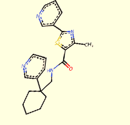 Cc1nc(-c2cccnc2)sc1C(=O)NCC1(c2cccnc2)CCCCC1